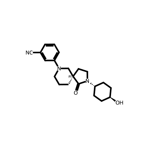 N#Cc1cccc(N2CCC[C@@]3(CCN([C@H]4CC[C@H](O)CC4)C3=O)C2)c1